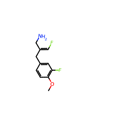 COc1ccc(CC(=CF)CN)cc1F